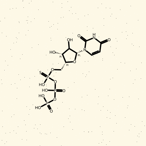 O=c1ccn([C@@H]2O[C@H](COP(O)(=S)OP(=O)(O)OP(=O)(O)O)[C@H](O)C2O)c(=O)[nH]1